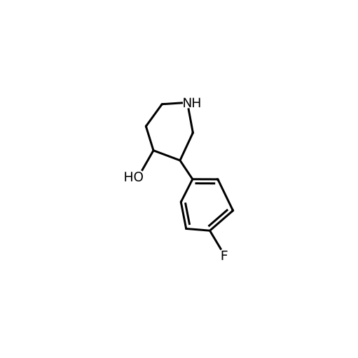 OC1CCNCC1c1ccc(F)cc1